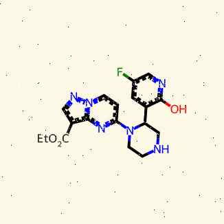 CCOC(=O)c1cnn2ccc(N3CCNCC3c3cc(F)cnc3O)nc12